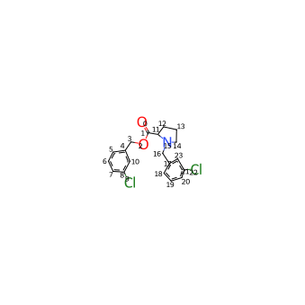 O=C(OCc1cccc(Cl)c1)C1CCCN1Cc1cccc(Cl)c1